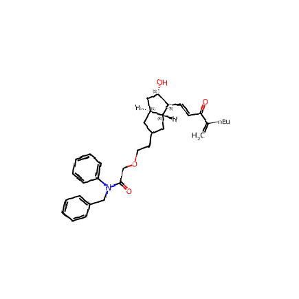 C=C(CCCC)C(=O)C=C[C@H]1[C@@H]2CC(CCOCC(=O)N(Cc3ccccc3)c3ccccc3)C[C@H]2C[C@@H]1O